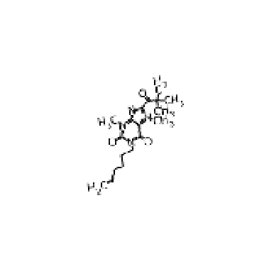 C=CCCCCn1c(=O)c2c(nc(C(=O)C(C)(C)C)n2C)n(C)c1=O